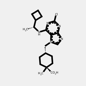 C[C@@H](Nc1nc(Cl)nc2ncn(C[C@H]3CC[C@](C)(C(=O)O)CC3)c12)C1CCC1